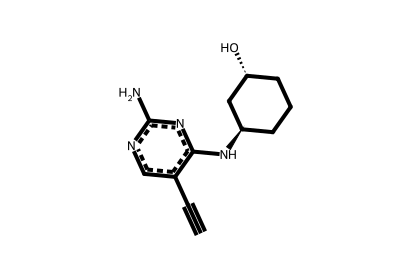 C#Cc1cnc(N)nc1N[C@@H]1CCC[C@@H](O)C1